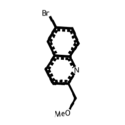 COCc1ccc2cc(Br)ccc2n1